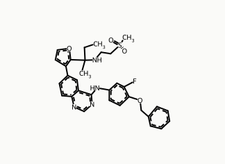 CCC(C)(NCCS(C)(=O)=O)c1occc1-c1ccc2ncnc(Nc3ccc(OCc4ccccc4)c(F)c3)c2c1